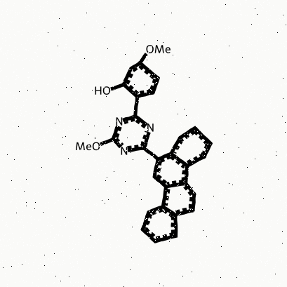 COc1ccc(-c2nc(OC)nc(-c3cc4c5ccccc5ccc4c4ccccc34)n2)c(O)c1